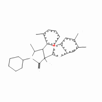 Cc1cc2nc(C3(C#N)C(=N)N(C4CCCCC4)C(S)C3c3ccccc3Br)[nH]c2cc1C